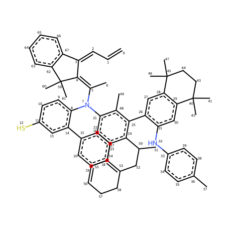 C=C/C=C1\C(=C(/C)N(c2ccc(S)cc2-c2ccccc2)c2cc3c(c(-c4cc5c(cc4Nc4ccc(C)cc4)C(C)(C)CCC5(C)C)c2C)C(C)CC2=C3C=CCC2)C(C)(C)c2ccccc21